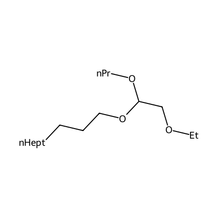 [CH2]COCC(OCCC)OCCCCCCCCCC